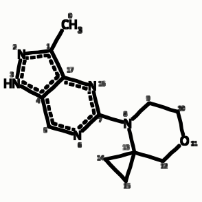 Cc1n[nH]c2cnc(N3CCOCC34CC4)nc12